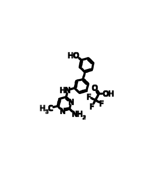 Cc1cc(Nc2cccc(-c3cccc(O)c3)c2)nc(N)n1.O=C(O)C(F)(F)F